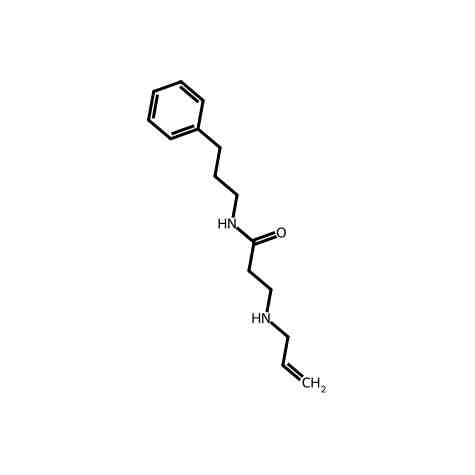 C=CCNCCC(=O)NCCCc1ccccc1